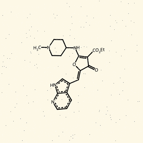 CCOC(=O)C1=C(NC2CCN(C)CC2)OC(=Cc2c[nH]c3ncccc23)C1=O